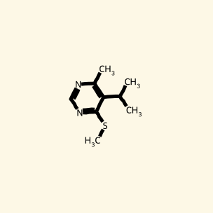 CSc1ncnc(C)c1C(C)C